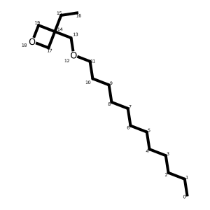 CCCCCCCCCCCCOCC1(CC)COC1